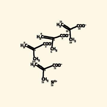 C=C(C)C(=O)[O-].C=C(C)C(=O)[O-].C=C(C)C(=O)[O-].C=C(C)C(=O)[O-].[Si+4]